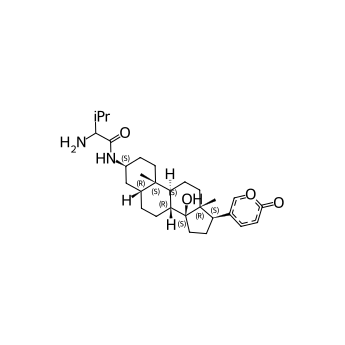 CC(C)C(N)C(=O)N[C@H]1CC[C@@]2(C)[C@H](CC[C@@H]3[C@@H]2CC[C@]2(C)[C@@H](c4ccc(=O)oc4)CC[C@]32O)C1